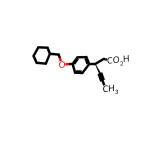 CC#C[C@H](CC(=O)O)c1ccc(OCC2CCCCC2)cc1